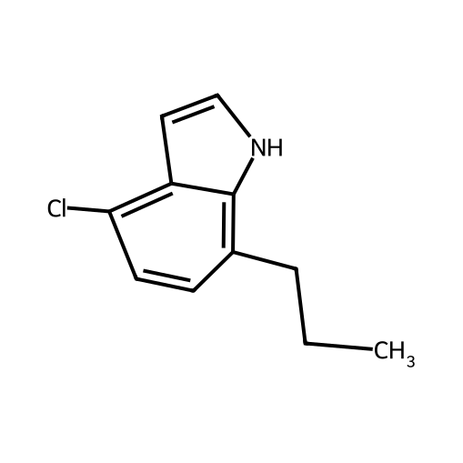 CCCc1ccc(Cl)c2cc[nH]c12